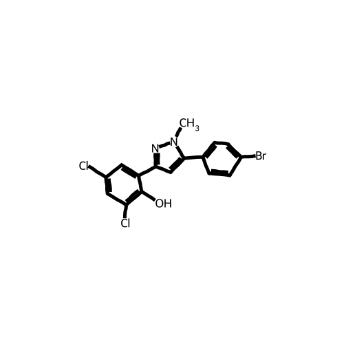 Cn1nc(-c2cc(Cl)cc(Cl)c2O)cc1-c1ccc(Br)cc1